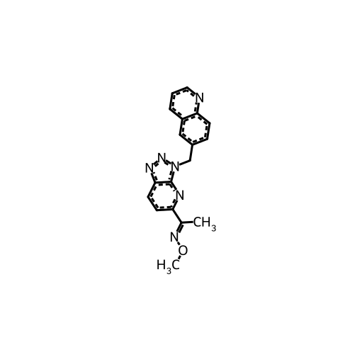 CO/N=C(\C)c1ccc2nnn(Cc3ccc4ncccc4c3)c2n1